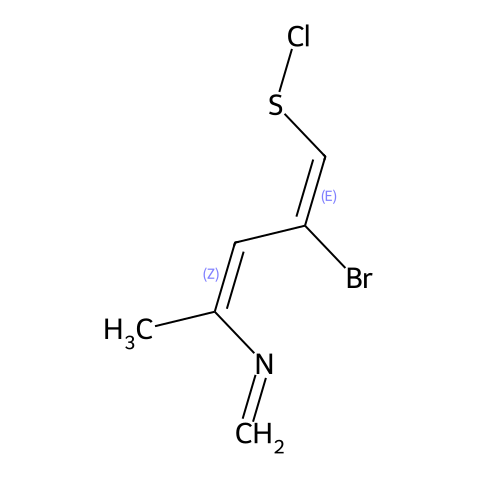 C=N/C(C)=C\C(Br)=C/SCl